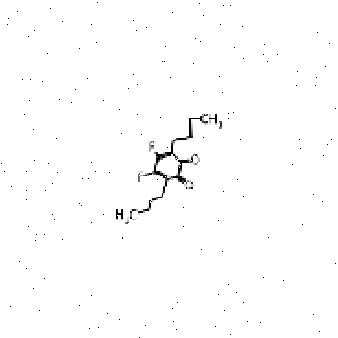 CCCCC1=C(F)C(F)=C(CCCC)C(=O)C1=O